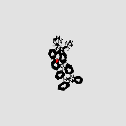 C[Si](C)(c1nncs1)C1([Si](C)(C)c2nncs2)c2ccccc2Oc2c1cccc2[Si](c1ccccc1)(c1ccccc1)c1cccc(-n2c3ccccc3n3c4ccccc4nc23)c1